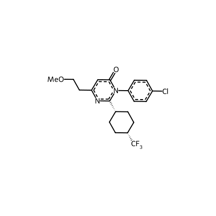 COCCc1cc(=O)n(-c2ccc(Cl)cc2)c([C@H]2CC[C@@H](C(F)(F)F)CC2)n1